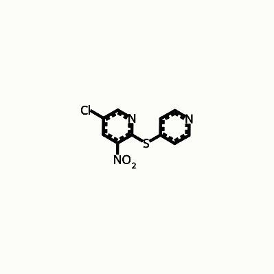 O=[N+]([O-])c1cc(Cl)cnc1Sc1ccncc1